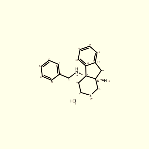 Cl.c1ccc(CN[C@@]23CCSC[C@@H]2Cc2ccccc23)cc1